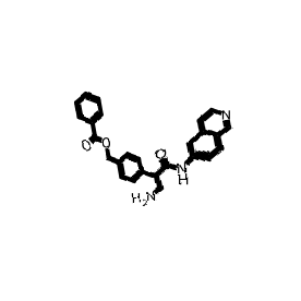 NCC(C(=O)NC1=CC=C2C=NC=CC2C1)c1ccc(COC(=O)c2ccccc2)cc1